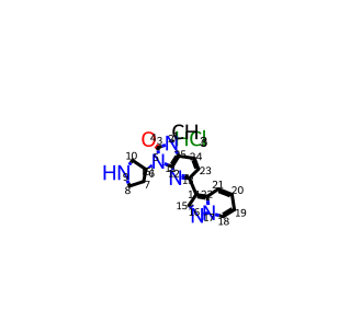 Cl.Cn1c(=O)n([C@H]2CCNC2)c2nc(-c3cnn4ccccc34)ccc21